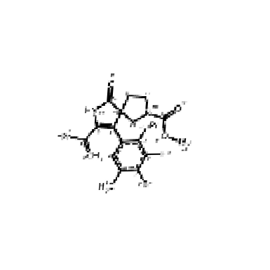 C=C(CCC)C1=C(c2cc(C)c(Br)c(F)c2CCC)C2(CCN(C(=O)OC(C)(C)C)C2)C(=O)N1